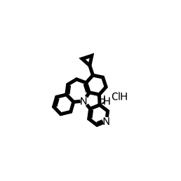 C1=CC2=CCC3=C4[C@H](CCC3C3CC3)[C@H]3CN=CC=C3N4C2CC1.Cl